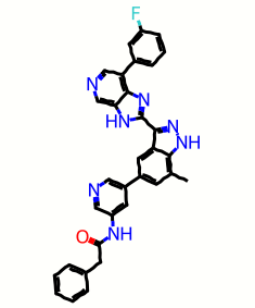 Cc1cc(-c2cncc(NC(=O)Cc3ccccc3)c2)cc2c(-c3nc4c(-c5cccc(F)c5)cncc4[nH]3)n[nH]c12